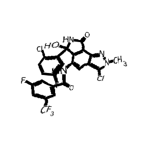 Cn1nc2c3c(c(NC(=O)c4cc(F)cc(C(F)(F)F)c4)cc2c1Cl)C(O)(c1cc(F)ccc1Cl)NC3=O